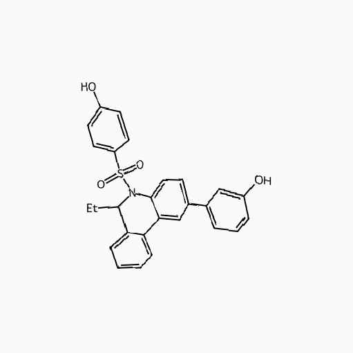 CCC1c2ccccc2-c2cc(-c3cccc(O)c3)ccc2N1S(=O)(=O)c1ccc(O)cc1